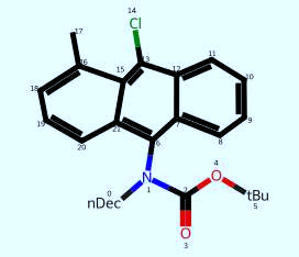 CCCCCCCCCCN(C(=O)OC(C)(C)C)c1c2ccccc2c(Cl)c2c(C)cccc12